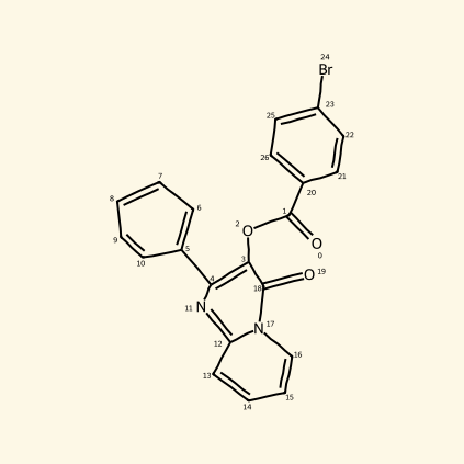 O=C(Oc1c(-c2ccccc2)nc2ccccn2c1=O)c1ccc(Br)cc1